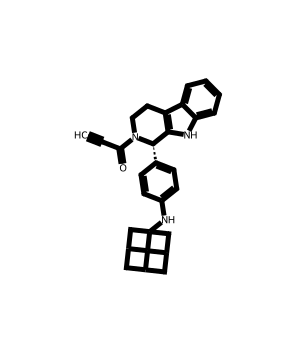 C#CC(=O)N1CCc2c([nH]c3ccccc23)[C@@H]1c1ccc(NC23CC4CC5CC(C2)C543)cc1